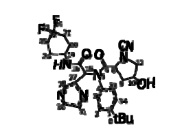 CC(C)(C)c1ccc(N(C(=O)C2CC(O)CN2C#N)C(C(=O)NC2CCC(F)(F)CC2)c2cnccn2)cc1